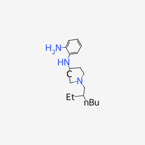 CCCCC(CC)CN1CCC(Nc2ccccc2N)CC1